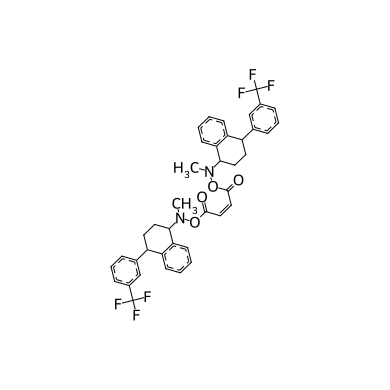 CN(OC(=O)/C=C\C(=O)ON(C)C1CCC(c2cccc(C(F)(F)F)c2)c2ccccc21)C1CCC(c2cccc(C(F)(F)F)c2)c2ccccc21